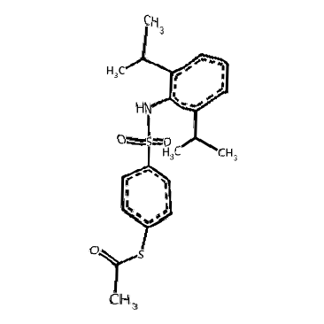 CC(=O)Sc1ccc(S(=O)(=O)Nc2c(C(C)C)cccc2C(C)C)cc1